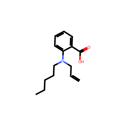 C=CCN(CCCCC)c1ccccc1C(=O)O